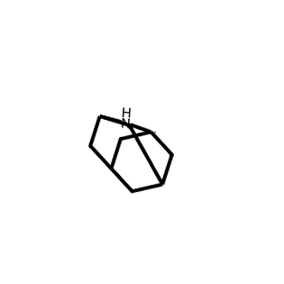 C1[C]2CC3CC1CC(C3)N2